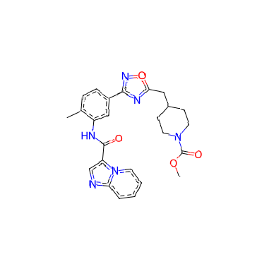 COC(=O)N1CCC(Cc2nc(-c3ccc(C)c(NC(=O)c4cnc5ccccn45)c3)no2)CC1